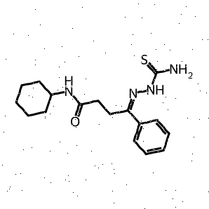 NC(=S)NN=C(CCC(=O)NC1CCCCC1)c1ccccc1